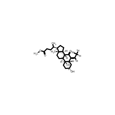 [2H]C(=C1C(=O)[C@@H]2[C@H](CC[C@]3(C)[C@@H](C(C)CCC(=O)OC)CC[C@@H]23)[C@@]2(C)CC[C@@H](O)C[C@@H]12)C([2H])([2H])[2H]